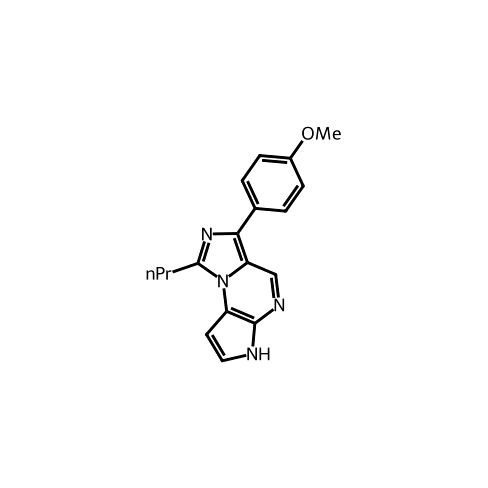 CCCc1nc(-c2ccc(OC)cc2)c2cnc3[nH]ccc3n12